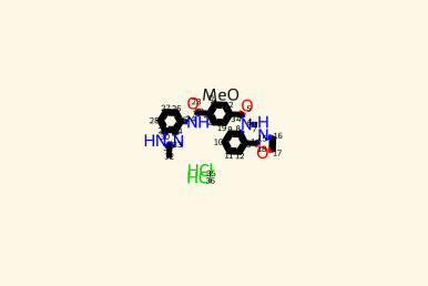 COc1cc(C(=O)N(C)c2ccccc2C2NC=CO2)ccc1C(=O)Nc1cccc2[nH]c(C)nc12.Cl.Cl